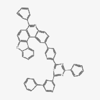 c1ccc(-c2cccc(-c3nc(-c4ccccc4)nc(-c4ccc(-c5ccc6nc(-c7ccccc7)c7ccc8oc9ccccc9c8c7c6c5)cc4)n3)c2)cc1